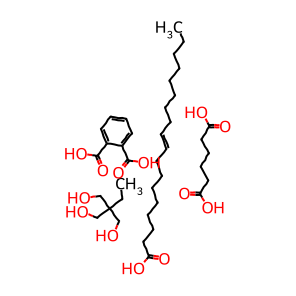 CCC(CO)(CO)CO.CCCCCCCCC=CCCCCCCCC(=O)O.O=C(O)CCCCC(=O)O.O=C(O)c1ccccc1C(=O)O